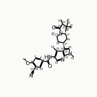 COc1ccc(C(=O)Nc2cnc3c(c([C@@H]4CCN(C(=O)C(C)C(F)(F)F)[C@@H](C)C4)cn3C)c2C)cc1C#N